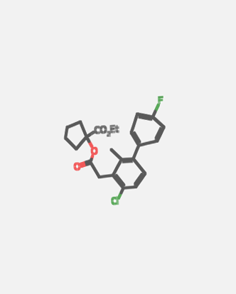 CCOC(=O)C1(OC(=O)Cc2c(Cl)ccc(-c3ccc(F)cc3)c2C)CCCC1